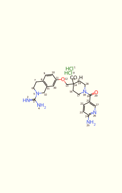 Cl.Cl.N=C(N)N1CCc2ccc(OCC3(C(=O)O)CCN(C(=O)c4ccc(N)nc4)CC3)cc2C1